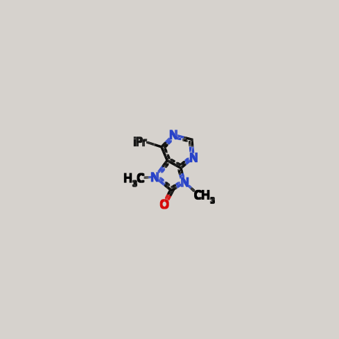 CC(C)c1ncnc2c1n(C)c(=O)n2C